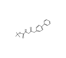 CC(C)(C)OC(=O)NCC(=O)Cc1ccc(-c2ccccc2)cc1